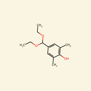 CCOC(OCC)c1cc(C)c(O)c(C)c1